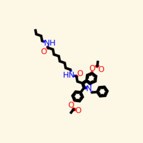 CCCCNC(=O)CCCCCCCNC(=O)Cc1c(-c2ccc(OC(C)=O)cc2)n(Cc2ccccc2)c2ccc(OC(C)=O)cc12